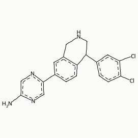 Nc1cnc(-c2ccc3c(c2)CNCC3c2ccc(Cl)c(Cl)c2)cn1